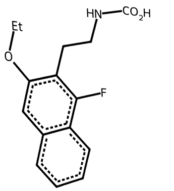 CCOc1cc2ccccc2c(F)c1CCNC(=O)O